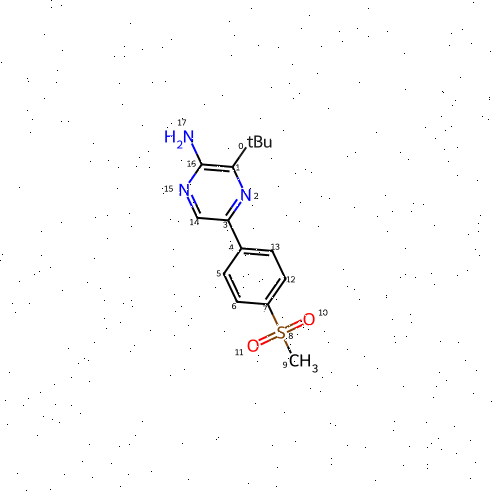 CC(C)(C)c1nc(-c2ccc(S(C)(=O)=O)cc2)cnc1N